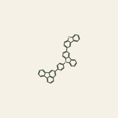 c1ccc2c(c1)-c1cccc3cc(-c4ccc(-n5c6ccccc6c6cc(-c7ccc8oc9ccccc9c8c7)ccc65)cc4)cc-2c13